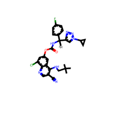 [2H]C(NC(=O)Oc1cc(Cl)c2ncc(C#N)c(NCC(C)(C)C)c2c1)(c1ccc(F)cc1)c1cn(C2CC2)nn1